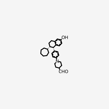 O=CC1CCN(c2ccc([C@H]3c4ccc(O)cc4CC[C@H]3C3CCCCCC3)cc2)CC1